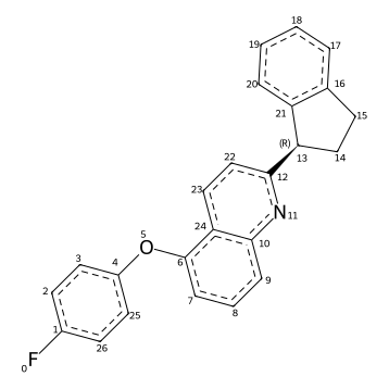 Fc1ccc(Oc2cccc3nc([C@@H]4CCc5ccccc54)ccc23)cc1